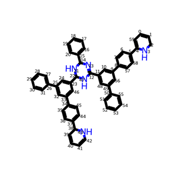 C1=CCNC(c2ccc(-c3cc(C4=NC(c5ccccc5)NC(c5cc(-c6ccccc6)cc(-c6ccc(C7C=CC=CN7)cc6)c5)N4)cc(-c4ccccc4)c3)cc2)=C1